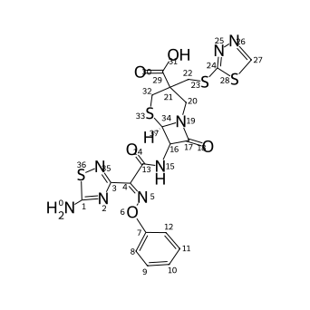 Nc1nc(C(=NOc2ccccc2)C(=O)NC2C(=O)N3CC(CSc4nncs4)(C(=O)O)CS[C@H]23)ns1